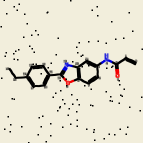 C=CC(=O)Nc1ccc2oc(-c3ccc(CC)cc3)nc2c1